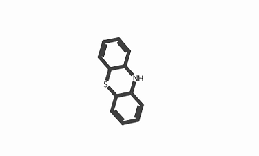 C1=CC2NC3C=CC=CC3SC2C=C1